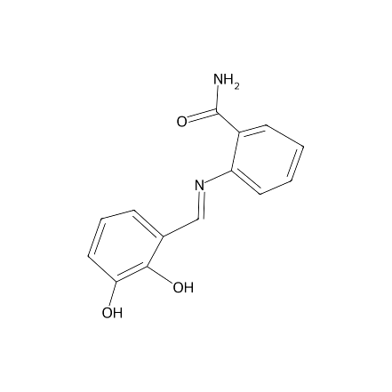 NC(=O)c1ccccc1/N=C/c1cccc(O)c1O